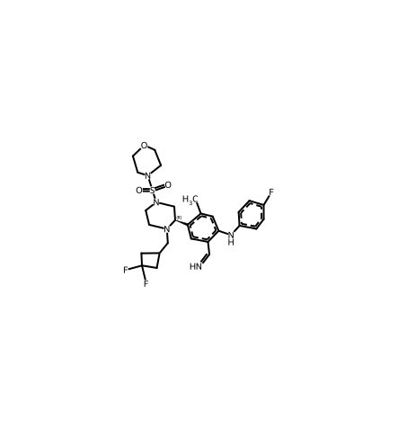 Cc1cc(Nc2ccc(F)cc2)c(C=N)cc1[C@@H]1CN(S(=O)(=O)N2CCOCC2)CCN1CC1CC(F)(F)C1